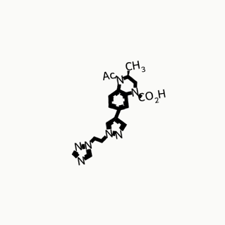 CC(=O)N1c2ccc(-c3cnn(CCn4cncn4)c3)cc2N(C(=O)O)C[C@@H]1C